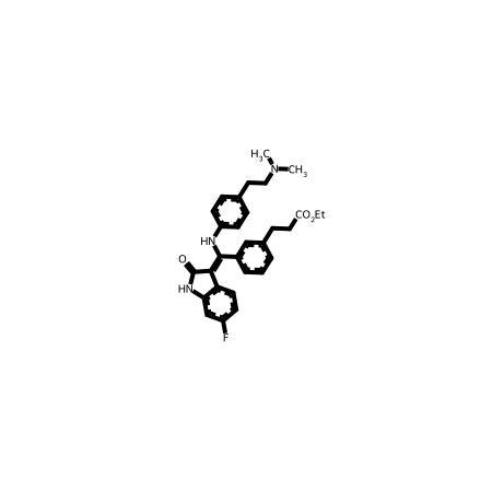 CCOC(=O)CCc1cccc(/C(Nc2ccc(CCN(C)C)cc2)=C2/C(=O)Nc3cc(F)ccc32)c1